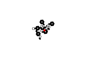 CCOc1ccc(Cc2cc(C(=O)[C@H](OCc3ccccc3)[C@@H](O)[C@H](OCc3ccccc3)[C@@H](COCc3ccccc3)OC(C)=O)ccc2Cl)cc1